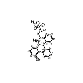 CS(=O)(=O)NCCNC(c1cccc(Br)c1)C(c1cccnc1)c1cccnc1